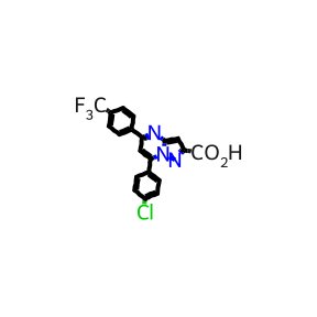 O=C(O)c1cc2nc(-c3ccc(C(F)(F)F)cc3)cc(-c3ccc(Cl)cc3)n2n1